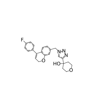 OC1(c2cn(Cc3ccc4c(c3)OCC=C4c3ccc(F)cc3)nn2)CCOCC1